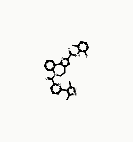 Cc1cccc(F)c1NC(=O)c1cc2c(s1)-c1ccccc1N(C(=O)c1cccc(-c3c(C)n[nH]c3C)n1)CC2